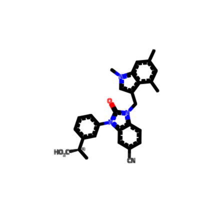 Cc1cc(C)c2c(Cn3c(=O)n(-c4cccc([C@@H](C)C(=O)O)c4)c4cc(C#N)ccc43)cn(C)c2c1